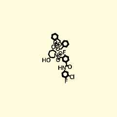 O=C(Nc1ccc(F)c(Cl)c1)c1ccc(F)c(S(=O)(=O)N2C[C@H](O)CC[C@H](OP(=O)(OCc3ccccc3)OCc3ccccc3)C2)c1